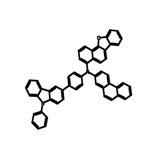 c1ccc(-n2c3ccccc3c3cc(-c4ccc(N(c5ccc6c(ccc7ccccc76)c5)c5cccc6c5ccc5c7ccccc7oc65)cc4)ccc32)cc1